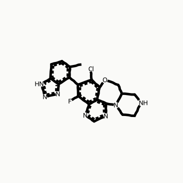 Cc1ccc2[nH]nnc2c1-c1c(Cl)c2c3c(ncnc3c1F)N1CCNCC1CO2